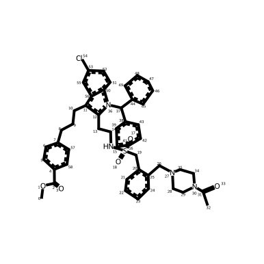 COC(=O)c1ccc(CCCc2c(CCNS(=O)(=O)Cc3ccccc3CN3CCN(C(C)=O)CC3)n(C(c3ccccc3)c3ccccc3)c3ccc(Cl)cc23)cc1